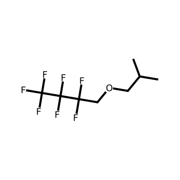 CC(C)COCC(F)(F)C(F)(F)C(F)(F)F